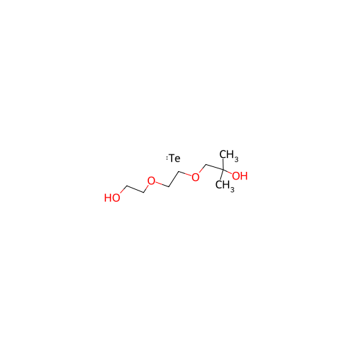 CC(C)(O)COCCOCCO.[Te]